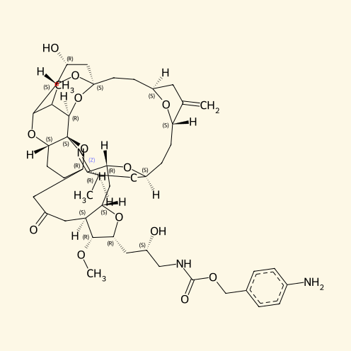 C=C1C[C@@H]2CC[C@]34C[C@@H](O)[C@H](O3)C3O[C@H]5CC[C@@H]6CC(=O)C[C@@H]7[C@@H](OC)[C@@H](C[C@H](O)CNC(=O)OCc8ccc(N)cc8)O[C@H]7C[C@H]7O[C@@H](CC[C@@H]1O2)C[C@@H](C)/C7=N/[C@@]5(O6)[C@H](O4)C3C